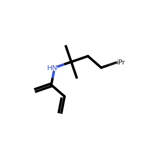 C=CC(=C)NC(C)(C)CCC(C)C